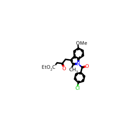 CCOC(=O)CC(=O)Cc1c(C)n(C(=O)c2ccc(Cl)cc2)c2ccc(OC)cc12